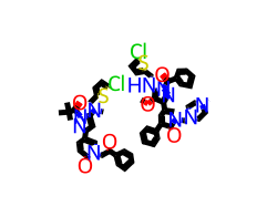 CN(Cc1ccc(Cl)s1)c1cc(-c2ccc(=O)n(CC(=O)c3ccccc3)c2)nn1C(=O)C(C)(C)C.COc1c(-c2cc(-c3ccccc3)c(=O)n(CN3CCN(C)CC3)c2)nn(C(=O)c2ccccc2)c1NCc1ccc(Cl)s1